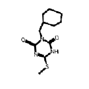 CSc1nc(=O)n(CC2CCCCC2)c(=O)[nH]1